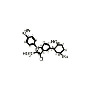 CC(C)Oc1ccc(-n2c(C(=O)O)c(Cl)c3cc(C4CC(C(C)(C)C)CCC4O)ccc32)cc1